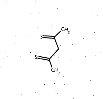 CC(=S)CC(C)=S